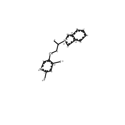 CC(COc1cnc(F)cc1I)n1cc2ccccc2c1